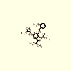 CC(N)CNc1nc(NCc2ccccc2N)c2c(n1)c(C(C)C)nn2C(C)C